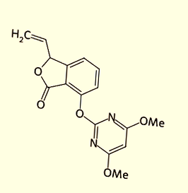 C=CC1OC(=O)c2c(Oc3nc(OC)cc(OC)n3)cccc21